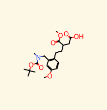 COC(=O)C(CCc1ccc(OC)cc1CN(C)C(=O)OC(C)(C)C)CC(=O)O